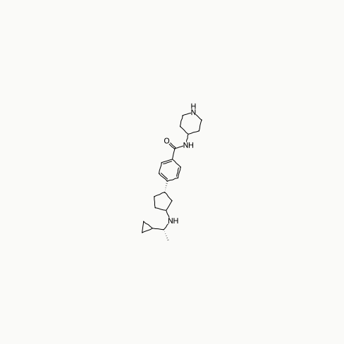 C[C@@H](NC1CC[C@H](c2ccc(C(=O)NC3CCNCC3)cc2)C1)C1CC1